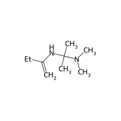 C=C(CC)NC(C)(C)N(C)C